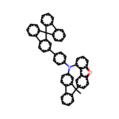 CC1(C)c2ccccc2-c2ccc(N(c3ccc(-c4ccc5c(c4)C4(c6ccccc6-c6ccccc64)c4ccccc4-5)cc3)c3cccc4oc5ccccc5c34)cc21